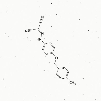 Cc1ccc(COc2ccc(NN=C(C#N)C#N)cc2)cc1